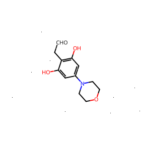 O=CCc1c(O)cc(N2CCOCC2)cc1O